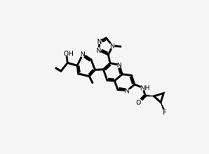 CCC(O)c1cc(C)c(-c2cc3cnc(NC(=O)[C@H]4C[C@H]4F)cc3nc2-c2nncn2C)cn1